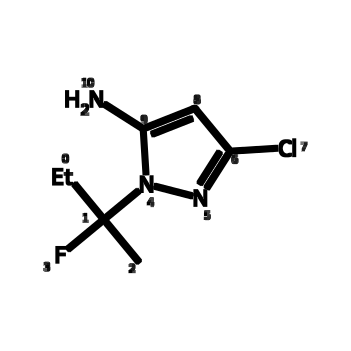 CCC(C)(F)n1nc(Cl)cc1N